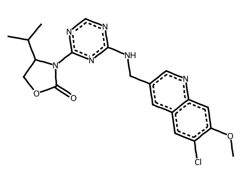 COc1cc2ncc(CNc3ncnc(N4C(=O)OCC4C(C)C)n3)cc2cc1Cl